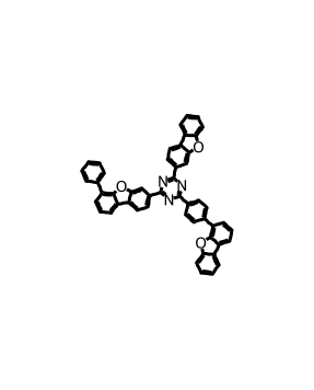 c1ccc(-c2cccc3c2oc2cc(-c4nc(-c5ccc(-c6cccc7c6oc6ccccc67)cc5)nc(-c5ccc6c(c5)oc5ccccc56)n4)ccc23)cc1